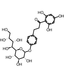 O=C(CCc1ccc(OC2O[C@H]([C@@H](O)[C@@H](O)[C@H](O)CO)[C@@H](O)[C@H](O)[C@H]2O)cc1)c1c(O)cc(O)cc1O